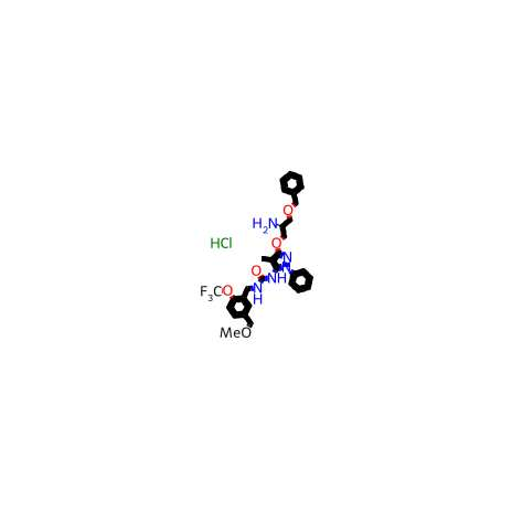 COCc1ccc(OC(F)(F)F)c(CNC(=O)Nc2c(C)c(OC[C@H](N)COCc3ccccc3)nn2-c2ccccc2)c1.Cl